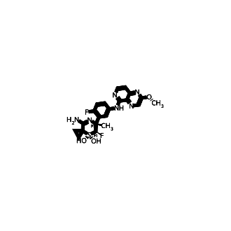 COc1cnc2c(Nc3ccc(F)c([C@@]4(C)N=C(N)C5(CC5)S(O)(O)[C@H]4F)c3)nccc2n1